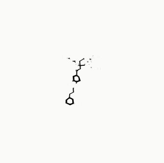 Cc1cccc(CCCOc2ccc(CCC(CCF)(COP(=O)(OC(C)(C)C)OC(C)(C)C)NC(=O)OC(C)(C)C)cc2C(F)(F)F)c1